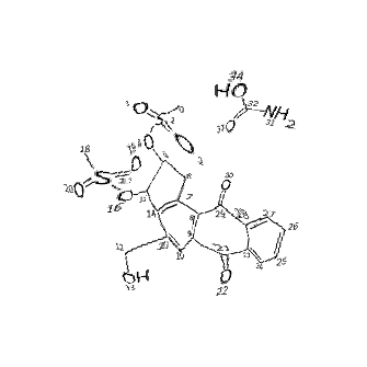 CS(=O)(=O)OC1Cc2c3c(cc(CO)c2C1OS(C)(=O)=O)C(=O)c1ccccc1C3=O.NC(=O)O